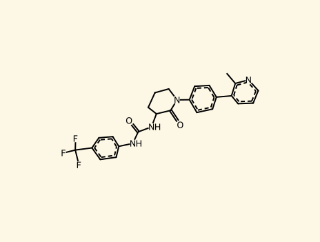 Cc1ncccc1-c1ccc(N2CCCC(NC(=O)Nc3ccc(C(F)(F)F)cc3)C2=O)cc1